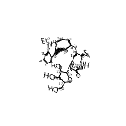 CCn1c2ccccc2c2cc(Cc3cn([C@H]4O[C@@H](CO)C(O)C4O)c(=O)[nH]c3=S)ccc21